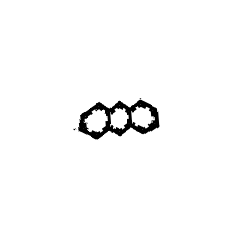 [c]1ccc2cc3[c]cccc3cc2c1